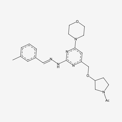 CC(=O)N1CCC(OCc2cc(N3CCOCC3)nc(NN=Cc3cccc(C)c3)n2)C1